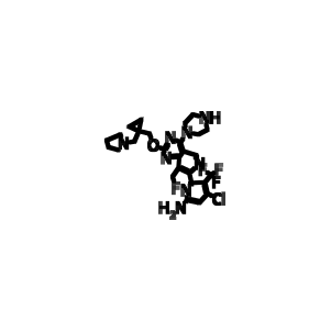 Nc1cc(Cl)c(C(F)(F)F)c(-c2ncc3c(N4CCNCC4)nc(OCC4(CN5CCCC5)CC4)nc3c2CF)n1